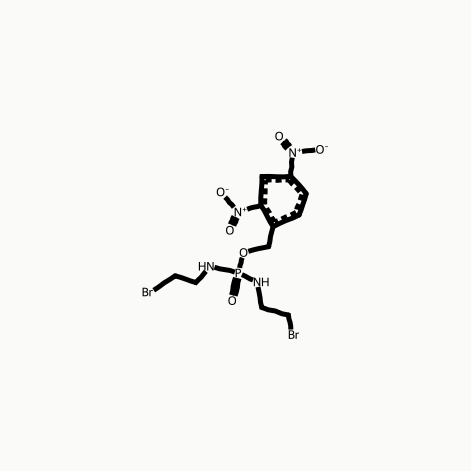 O=[N+]([O-])c1ccc(COP(=O)(NCCBr)NCCBr)c([N+](=O)[O-])c1